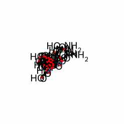 C/C=C(\NC(=O)[C@H](NC(=O)[C@H](CC(C)C)NC(=O)[C@@H](CCC(N)=O)NC(=O)[C@@H](NC(=O)[C@H](NC(=O)[C@@H](CC(C)C)NC(=O)[C@@H](CO)NC(=O)[C@H](NC(=O)[C@@H](CC(C)C)NC(=O)[C@@H](CO)NC(=O)[C@H]1CCCN1C(=O)/C(=C/C)NC(=O)CCCC(=O)O)C(C)C)C(C)C)C(C)C)C(C)C)C(=O)N[C@H]1C(=O)N[C@@H]([C@@H](C)CC)C(=O)N[C@@H](CCO)C(=O)N[C@H](CCN)C(=O)N[C@@H](CCCCN)C(=O)O[C@@H]1C